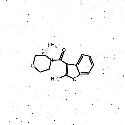 Cc1oc2ccccc2c1C(=O)N1CCOC[C@@H]1C